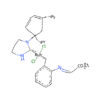 CCOC(=O)C=Nc1ccccc1[CH]=[Ru-4]([Cl])([Cl])=[C]1NCCN1C1(C(C)C)C=CC=C(C(C)C)C1